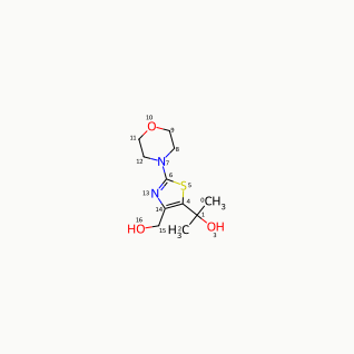 CC(C)(O)c1sc(N2CCOCC2)nc1CO